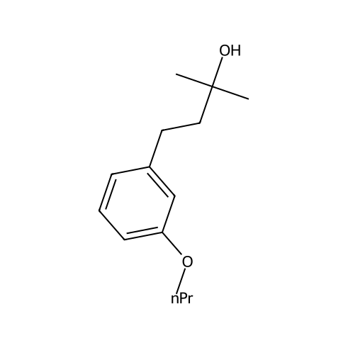 CCCOc1cccc(CCC(C)(C)O)c1